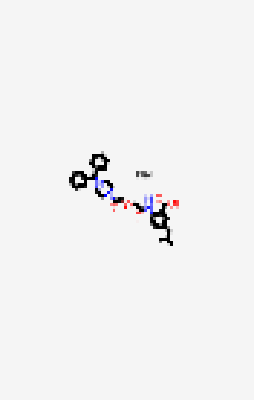 CC(C)Cc1ccc(NC(=O)COCC(=O)N2CCN(C(c3ccccc3)c3ccccc3)CC2)c(C(=O)O)c1.[NaH]